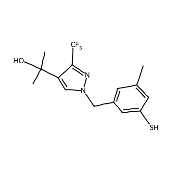 Cc1cc(S)cc(Cn2cc(C(C)(C)O)c(C(F)(F)F)n2)c1